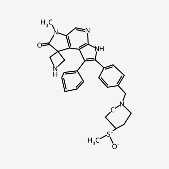 CN1C(=O)C2(CNC2)c2c1cnc1[nH]c(-c3ccc(CN4CCC([S+](C)[O-])CC4)cc3)c(-c3ccccc3)c21